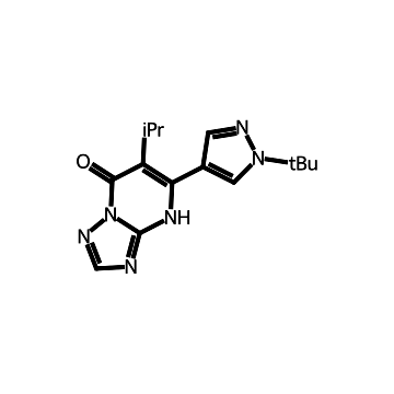 CC(C)c1c(-c2cnn(C(C)(C)C)c2)[nH]c2ncnn2c1=O